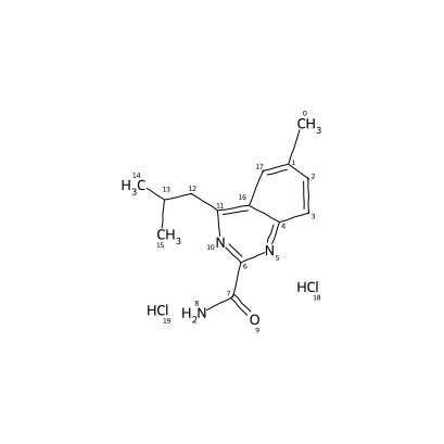 Cc1ccc2nc(C(N)=O)nc(CC(C)C)c2c1.Cl.Cl